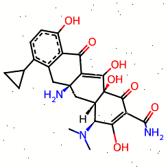 CN(C)[C@@H]1C(O)=C(C(N)=O)C(=O)[C@@]2(O)C(O)=C3C(=O)c4c(O)ccc(C5CC5)c4C[C@@]3(N)C[C@@H]12